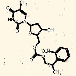 Cc1cn(C2CC(O)C(COC(=O)OCC(C)c3ccccc3[N+](=O)[O-])O2)c(=O)[nH]c1=O